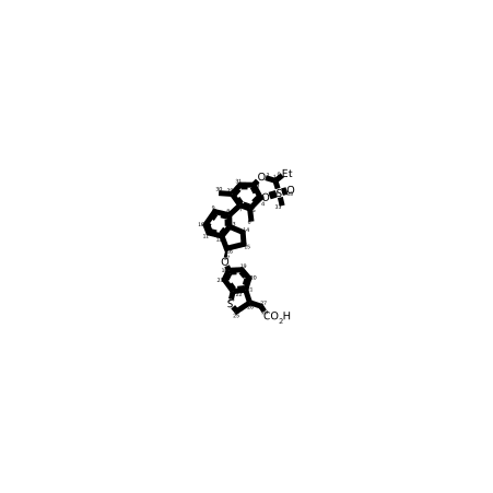 CCC(Oc1cc(C)c(-c2cccc3c2CC[C@H]3Oc2ccc3c(c2)SCC3CC(=O)O)c(C)c1)S(C)(=O)=O